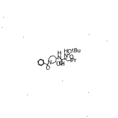 CC(C)C[C@H](NC(=O)OC(C)(C)C)C(=O)NC1CCCN(C(=O)c2ccccc2)CC1O